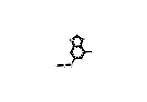 Cc1cc(N=C=S)cc2[nH]ccc12